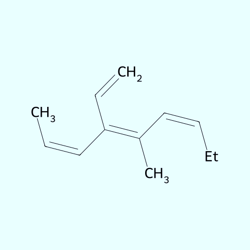 C=CC(/C=C\C)=C(C)\C=C/CC